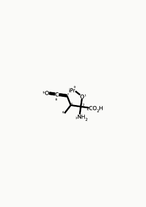 CC(C)OC(N)(C(=O)O)C(C)C=C=O